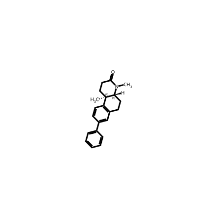 CN1C(=O)CC[C@]2(C)c3ccc(-c4ccccc4)cc3CC[C@@H]12